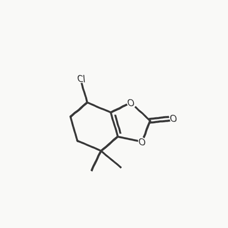 CC1(C)CCC(Cl)c2oc(=O)oc21